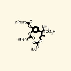 CCCCCC(=O)Oc1ccc(C(C(C)COC(=O)OC(C)CC)[C@H](N)C(=O)O)cc1OC(=O)CCCCC